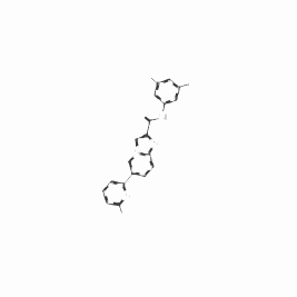 Cc1cccc(-c2ccc3nc(C(=O)Nc4cc(F)cc(F)c4)cn3c2)n1